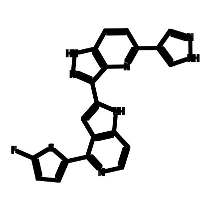 Fc1ccc(-c2nccc3[nH]c(-c4n[nH]c5ccc(-c6cn[nH]c6)nc45)cc23)s1